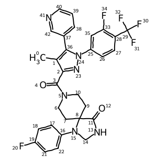 Cc1c(C(=O)N2CCC3(CC2)C(=O)NCN3c2ccc(F)cc2)nn(-c2ccc(C(F)(F)F)c(F)c2)c1-c1cccnc1